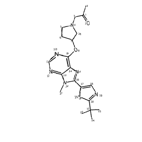 CC(=O)CN1CCC(Oc2ncnc3c2nc(-c2cnc(C(C)(C)C)s2)n3C)C1